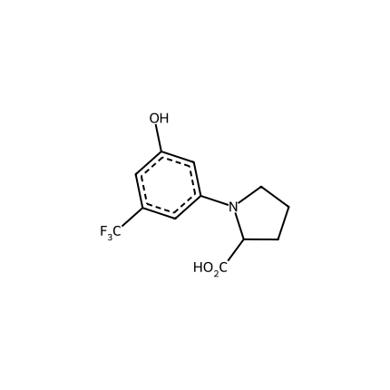 O=C(O)C1CCCN1c1cc(O)cc(C(F)(F)F)c1